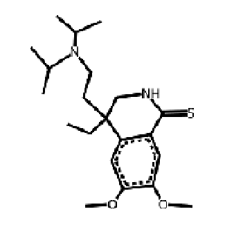 CCC1(CCN(C(C)C)C(C)C)CNC(=S)c2cc(OC)c(OC)cc21